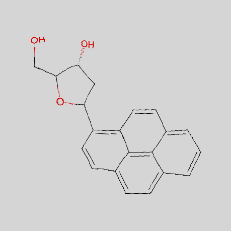 OCC1OC(c2ccc3ccc4cccc5ccc2c3c45)C[C@H]1O